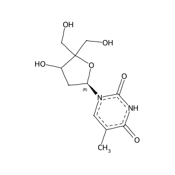 Cc1cn([C@H]2CC(O)C(CO)(CO)O2)c(=O)[nH]c1=O